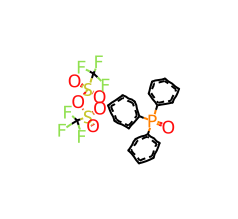 O=P(c1ccccc1)(c1ccccc1)c1ccccc1.O=S(=O)(OS(=O)(=O)C(F)(F)F)C(F)(F)F